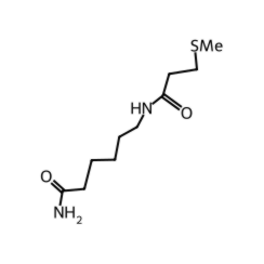 CSCCC(=O)NCCCCCC(N)=O